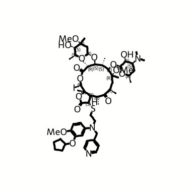 COc1ccc(N(CCS[C@@H]2C(=O)O[C@@]3(C)[C@H]2[C@@H](C)C(=O)[C@H](C)C[C@@](C)(OC)[C@H](O[C@@H]2O[C@H](C)C[C@H](N(C)C)[C@H]2O)[C@@H](C)[C@H](O[C@H]2C[C@@](C)(OC)[C@@H](O)[C@H](C)O2)[C@@H](C)C(=O)O[C@@H]3I)Cc2ccncc2)cc1OC1CCCC1